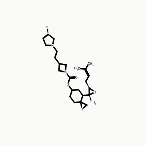 CC(C)=CC[C@H]1O[C@]1(C)C1CC(OC(=O)N2CC(CCN3CC[C@@H](F)C3)C2)CCC12CO2